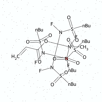 C=CC(=O)OC(N(F)S(=O)(=O)CCCC)(C(N(F)S(=O)(=O)CCCC)(N(F)S(=O)(=O)CCCC)N(F)S(=O)(=O)CCCC)[N+](C)(F)S(=O)(=O)CCCC